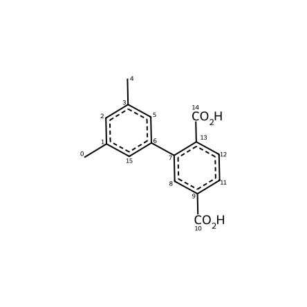 Cc1cc(C)cc(-c2cc(C(=O)O)ccc2C(=O)O)c1